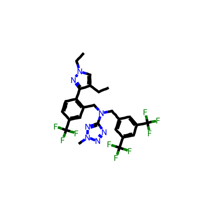 CCc1cn(CC)nc1-c1ccc(C(F)(F)F)cc1CN(Cc1cc(C(F)(F)F)cc(C(F)(F)F)c1)c1nnn(C)n1